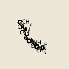 Cc1ccc(Nc2nc3cc(Oc4ccnc(C(=O)NCCN5C(C)CCCC5C)c4)ccc3n2C)cc1-c1ccnc(F)c1